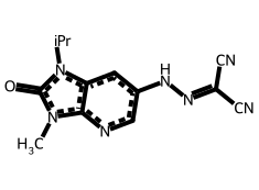 CC(C)n1c(=O)n(C)c2ncc(NN=C(C#N)C#N)cc21